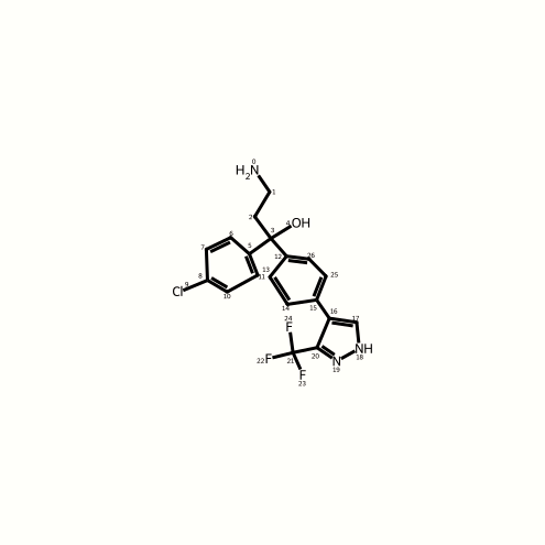 NCCC(O)(c1ccc(Cl)cc1)c1ccc(-c2c[nH]nc2C(F)(F)F)cc1